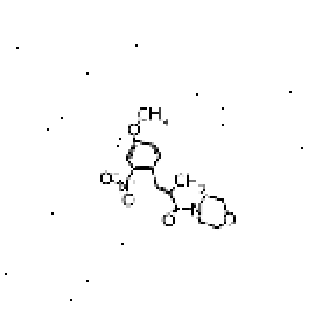 COc1ccc(/C=C(\C)C(=O)N2CCOCC2)c([N+](=O)[O-])c1